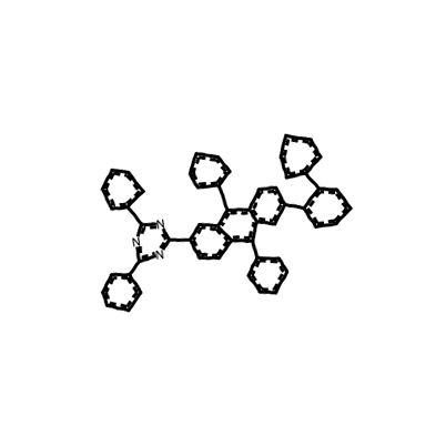 c1ccc(-c2nc(-c3ccccc3)nc(-c3ccc4c(-c5ccccc5)c5cc(-c6ccccc6-c6ccccc6)ccc5c(-c5ccccc5)c4c3)n2)cc1